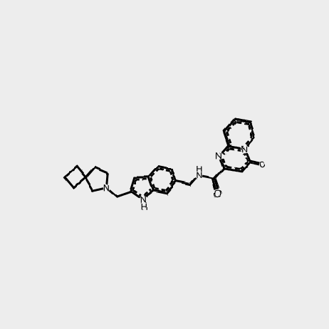 O=C(NCc1ccc2cc(CN3CCC4(CCC4)C3)[nH]c2c1)c1cc(=O)n2ccccc2n1